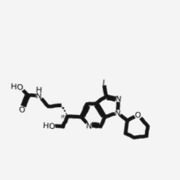 O=C(O)NCC[C@@H](CO)c1cc2c(I)nn(C3CCCCO3)c2cn1